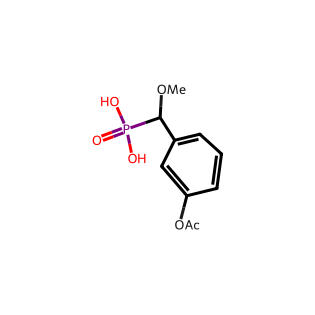 COC(c1cccc(OC(C)=O)c1)P(=O)(O)O